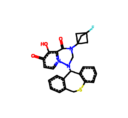 O=C1c2c(O)c(=O)ccn2N([C@H]2c3ccccc3CSc3ccccc32)CN1C12CC(F)(C1)C2